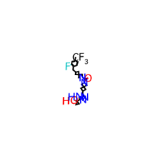 O=C(N1CC2(CC(Cc3ccc(C(F)(F)F)cc3F)C2)C1)N1CC2(CC(c3nnc(C4(O)CC4)[nH]3)C2)C1